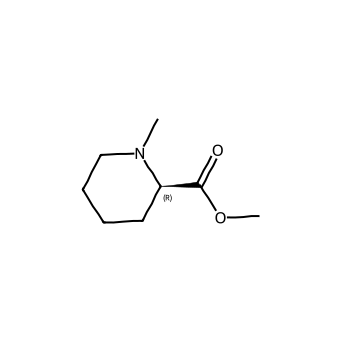 COC(=O)[C@H]1CCCCN1C